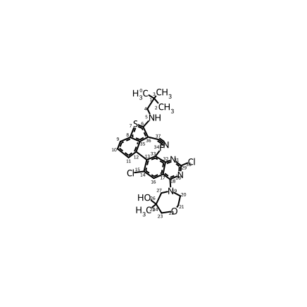 CC(C)(C)CNc1sc2cccc(-c3c(Cl)cc4c(N5CCOCC(C)(O)C5)nc(Cl)nc4c3F)c2c1C#N